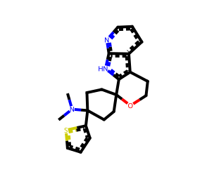 CN(C)C1(c2cccs2)CCC2(CC1)OCCc1c2[nH]c2ncccc12